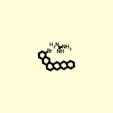 Brc1cccc2cc3ccc4cc5cc6ccccc6cc5cc4c3cc12.N=C(N)N